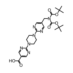 CC(C)(C)OC(=O)N(Cc1cnc(N2CCN(c3ncc(C(=O)O)cn3)CC2)nc1)C(=O)OC(C)(C)C